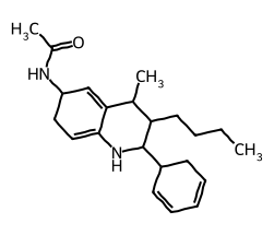 CCCCC1C(C)C2=CC(NC(C)=O)CC=C2NC1C1C=CC=CC1